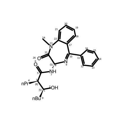 CCCC[C@H](O)[C@@H](CCC)C(=O)N[C@H]1N=C(c2ccccc2)c2ccccc2N(C)C1=O